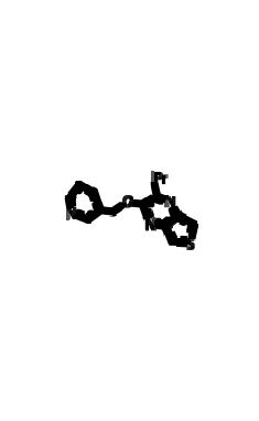 CC(C)c1nc2cscc2nc1OCc1cccnc1